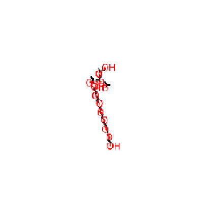 C=CC(=O)O.CC(O)COC(C)COC(C)CO.OCCOCCOCCOCCOCCOCCOCCO